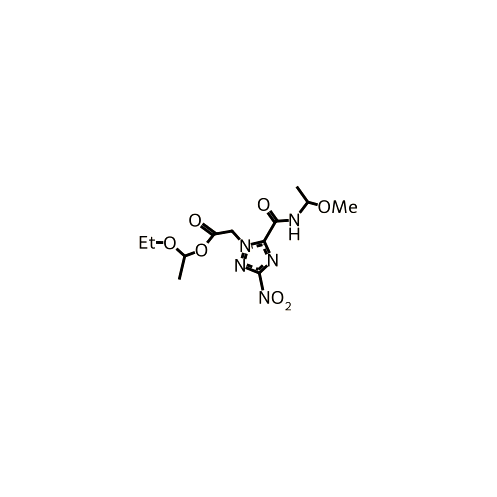 CCOC(C)OC(=O)Cn1nc([N+](=O)[O-])nc1C(=O)NC(C)OC